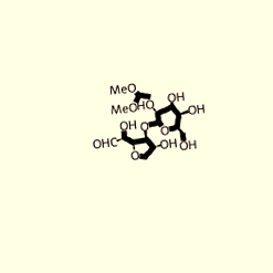 COC(C)OC.O=C[C@H](O)[C@H]1OC[C@@H](O)[C@@H]1OC1O[C@H](CO)[C@H](O)[C@H](O)[C@H]1O